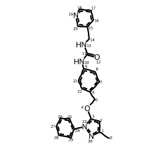 Cc1cc(OCc2ccc(NC(=O)NCc3cccnc3)cc2)n(-c2ccccc2)n1